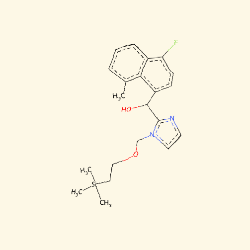 Cc1cccc2c(F)ccc(C(O)c3nccn3COCC[Si](C)(C)C)c12